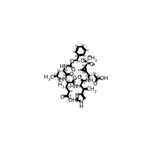 C=C(c1c[nH]cn1)[C@H](NC(=O)C(CCC(=O)O)NC(=O)[C@H](CC(C)C)NC(=O)OCc1ccccc1)C(=O)N[C@@H](CC(=O)O)C1=CC1S(C)(=O)=O